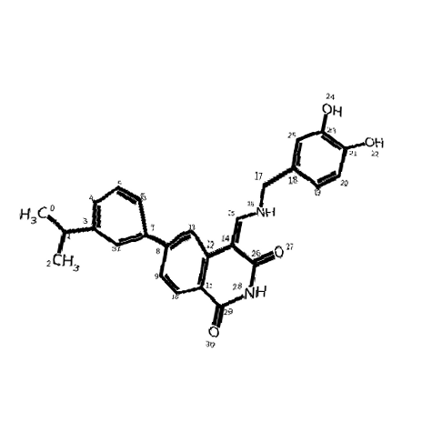 CC(C)c1cccc(-c2ccc3c(c2)C(=CNCc2ccc(O)c(O)c2)C(=O)NC3=O)c1